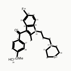 COc1ccc(C(=O)c2c(C)n(CCCN3CCSCC3)c3ccc(F)cc23)cc1.Cl